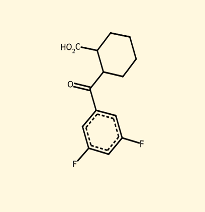 O=C(O)C1CCCCC1C(=O)c1cc(F)cc(F)c1